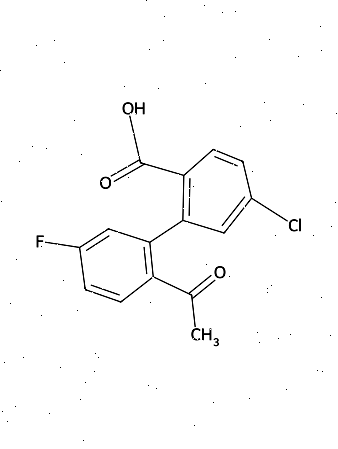 CC(=O)c1ccc(F)cc1-c1cc(Cl)ccc1C(=O)O